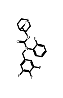 O=C(OC1CN2CCC1CC2)N(Cc1cc(F)c(F)c(F)c1)c1ccccc1F